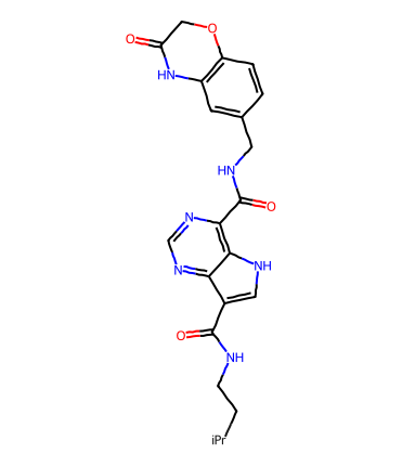 CC(C)CCNC(=O)c1c[nH]c2c(C(=O)NCc3ccc4c(c3)NC(=O)CO4)ncnc12